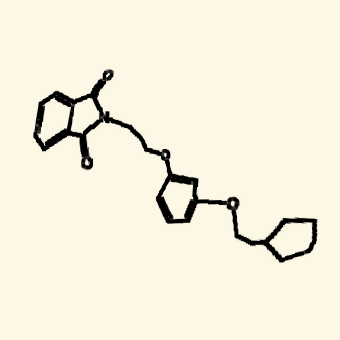 O=C1c2ccccc2C(=O)N1CCOc1cccc(OCC2CCCC2)c1